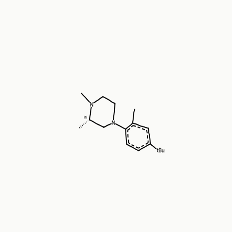 Cc1cc(C(C)(C)C)ccc1N1CCN(C)[C@@H](C)C1